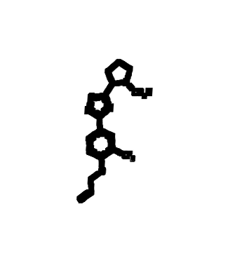 C=CCOc1ccc(-c2noc(C3CCCN3C(=O)O)n2)cc1C(F)(F)F